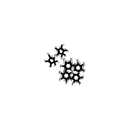 CC1=C(C)C(C)(C)[C]([Pr+][C]2=C(C)C(C)=C(C)C2(C)C)=C1C.Fc1c(F)c(F)c([B-](c2c(F)c(F)c(F)c(F)c2F)(c2c(F)c(F)c(F)c(F)c2F)c2c(F)c(F)c(F)c(F)c2F)c(F)c1F